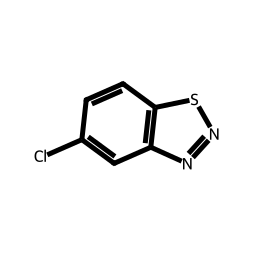 Clc1ccc2snnc2c1